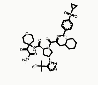 CC(C)(O)c1cnnn1[C@H]1C[C@@H](C(=O)NC2(C(=O)C(N)=O)CCOCC2)N(C(=O)/C(CC2CCCCC2)=N/C(=O)c2ccc(S(=O)(=O)C3CC3)cc2)C1